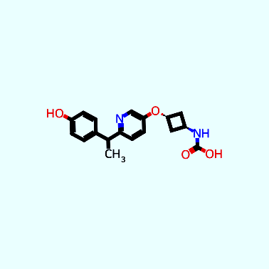 CC(c1ccc(O)cc1)c1ccc(O[C@H]2C[C@H](NC(=O)O)C2)cn1